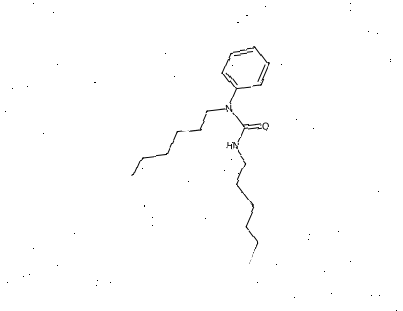 CCCCCCNC(=O)N(CCCCCC)c1ccccc1